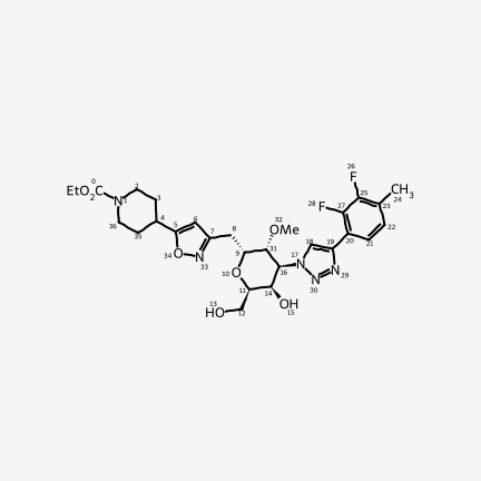 CCOC(=O)N1CCC(c2cc(C[C@H]3O[C@H](CO)[C@H](O)[C@H](n4cc(-c5ccc(C)c(F)c5F)nn4)[C@H]3OC)no2)CC1